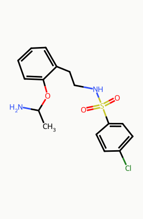 CC(N)Oc1ccccc1CCNS(=O)(=O)c1ccc(Cl)cc1